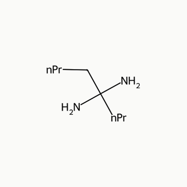 CCCCC(N)(N)CCC